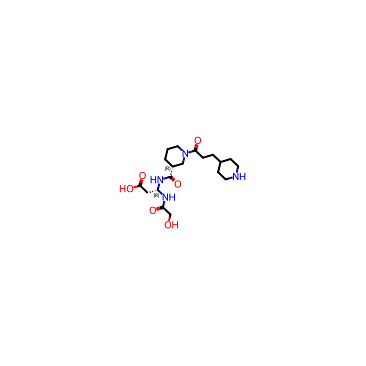 O=C(O)C[C@@H](NC(=O)CO)NC(=O)[C@@H]1CCCN(C(=O)CCC2CCNCC2)C1